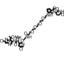 CO[C@@H](C)c1c(NC(=O)Nc2cc(Cl)cnc2OCCNC(=O)CCOCCOCCOCCOCCNc2cccc3c2CN(C2CCC(=O)NC2=O)C3=O)cnc2cc(Cl)nn12